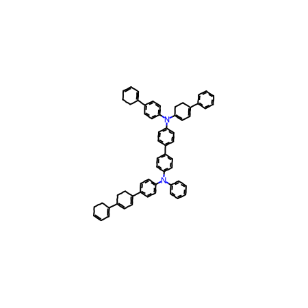 C1=CCCC(C2=CC=C(c3ccc(N(c4ccccc4)c4ccc(-c5ccc(N(C6=CC=C(c7ccccc7)CC6)c6ccc(C7=CC=CCC7)cc6)cc5)cc4)cc3)CC2)=C1